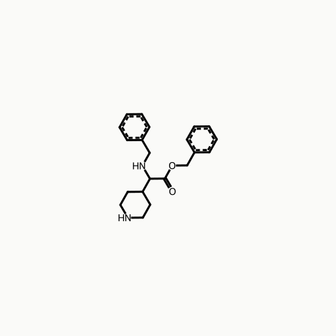 O=C(OCc1ccccc1)C(NCc1ccccc1)C1CCNCC1